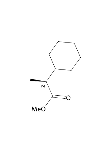 COC(=O)[C@@H](C)C1CCCCC1